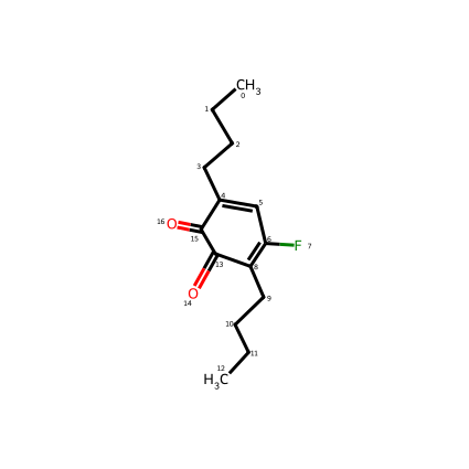 CCCCC1=CC(F)=C(CCCC)C(=O)C1=O